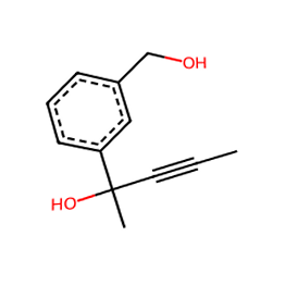 CC#CC(C)(O)c1cccc(CO)c1